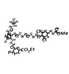 CCOC(=O)c1ccc(F)c(OCCCc2c(C)nn(COCC[Si](C)(C)C)c2COCCCOCCCOc2c(Cl)cc(CCC(=O)OC)cc2Cl)c1